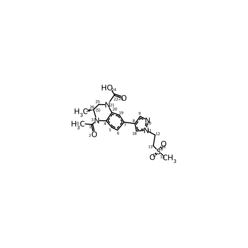 CC(=O)N1c2ccc(-c3cnn(CCS(C)(=O)=O)c3)cc2N(C(=O)O)C[C@@H]1C